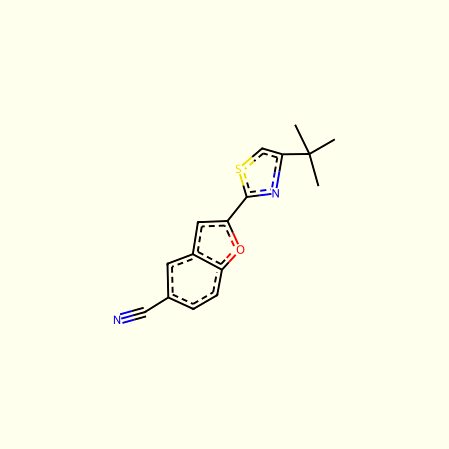 CC(C)(C)c1csc(-c2cc3cc(C#N)ccc3o2)n1